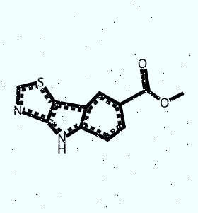 COC(=O)c1ccc2[nH]c3ncsc3c2c1